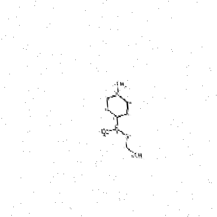 CCSN(C)C1CCN(C)CC1